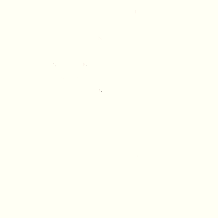 CCC(=O)N1CCN(C(CNS(=O)(=O)c2ccc(O[C@@H](C)c3cccc4ccccc34)cc2)C(=O)NO)CC1